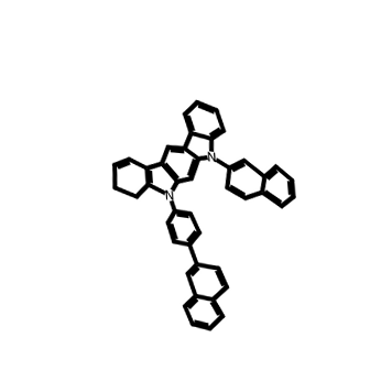 C1=Cc2c(n(-c3ccc(-c4ccc5ccccc5c4)cc3)c3cc4c(cc23)c2ccccc2n4-c2ccc3ccccc3c2)CC1